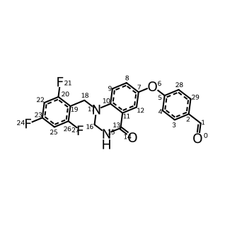 O=Cc1ccc(Oc2ccc3c(c2)C(=O)NCN3Cc2c(F)cc(F)cc2F)cc1